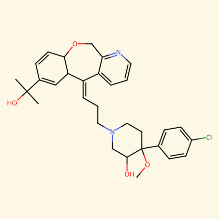 COC1(c2ccc(Cl)cc2)CCN(CC/C=C2\c3cccnc3COC3C=CC(C(C)(C)O)=CC23)CC1O